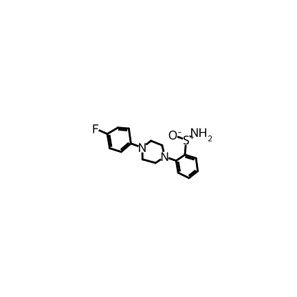 N[S+]([O-])c1ccccc1N1CCN(c2ccc(F)cc2)CC1